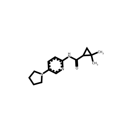 CC1(C)CC1C(=O)Nc1ccc(N2CCCC2)cn1